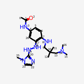 CC(=O)Nc1ccc(NCC(C)(C)CN(C)C)c(NNc2nccn2C)c1